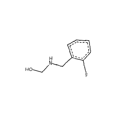 OCNCc1ccccc1F